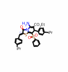 CCOC(=O)C1=C(N)n2c(s/c(=C\c3ccc(C(C)C)cc3)c2=O)=C(S(=O)(=O)c2ccccc2)C1c1ccc(C(C)C)cc1